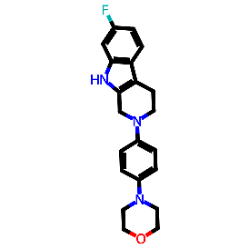 Fc1ccc2c3c([nH]c2c1)CN(c1ccc(N2CCOCC2)cc1)CC3